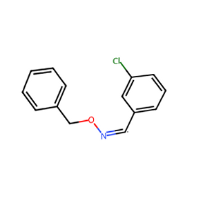 Clc1cccc(/[C]=N\OCc2ccccc2)c1